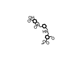 CCOC(=O)c1ccc(CNCc2cccc(CN3Cc4ccc(C(=O)O)cc4C3=O)c2)c(C=O)c1